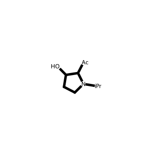 CC(=O)C1C(O)CCN1C(C)C